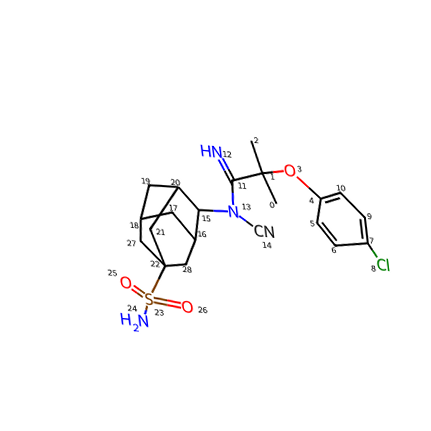 CC(C)(Oc1ccc(Cl)cc1)C(=N)N(C#N)C1C2CC3CC1CC(S(N)(=O)=O)(C3)C2